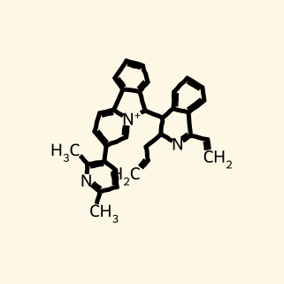 C=CCC1N=C(C=C)c2ccccc2C1C1c2ccccc2-c2ccc(-c3ccc(C)nc3C)c[n+]21